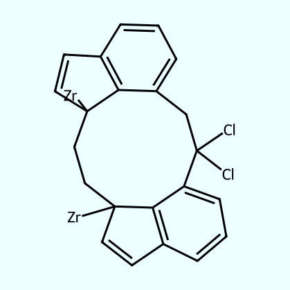 ClC1(Cl)Cc2cccc3c2[C]([Zr])(C=C3)CC[C]2([Zr])C=Cc3cccc1c32